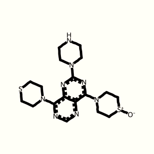 [O-][S+]1CCN(c2nc(N3CCNCC3)nc3c(N4CCSCC4)ncnc23)CC1